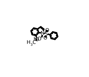 COc1cccc2c1[N+](CO)(S(=O)(=O)c1ccccc1)C=C2